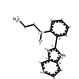 CCC[S+]([O-])c1ccccc1-c1nc2cnccc2[nH]1